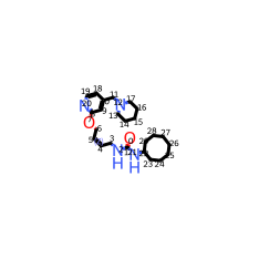 O=C(NC/C=C\COc1cc(CN2CCCCC2)ccn1)NC1CCCCCCC1